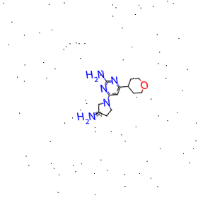 Nc1nc(C2CCOCC2)cc(N2CC[C@@H](N)C2)n1